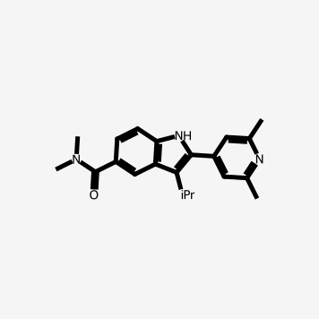 Cc1cc(-c2[nH]c3ccc(C(=O)N(C)C)cc3c2C(C)C)cc(C)n1